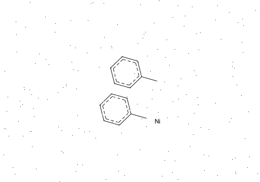 Cc1ccccc1.Cc1ccccc1.[Ni]